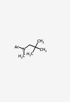 [CH2]C(=O)N(C)CC(C)(C)C